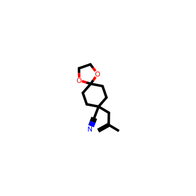 C=C(C)CC1(C#N)CCC2(CC1)OCCO2